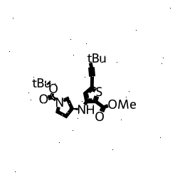 COC(=O)c1sc(C#CC(C)(C)C)cc1N[C@H]1CCN(C(=O)OC(C)(C)C)C1